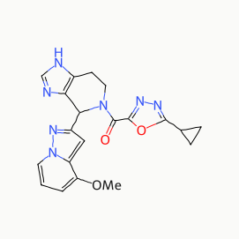 COc1cccn2nc(C3c4nc[nH]c4CCN3C(=O)c3nnc(C4CC4)o3)cc12